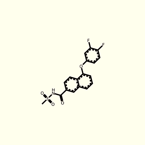 CS(=O)(=O)NC(=O)c1ccc2c(Oc3ccc(F)c(F)c3)cccc2c1